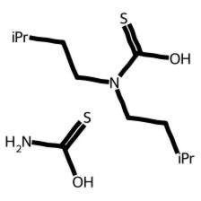 CC(C)CCN(CCC(C)C)C(O)=S.NC(O)=S